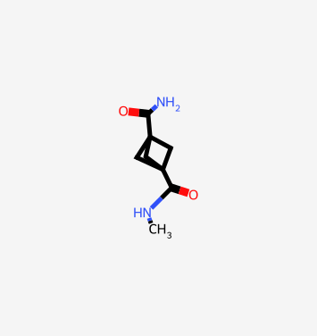 CNC(=O)C12CC(C(N)=O)(C1)C2